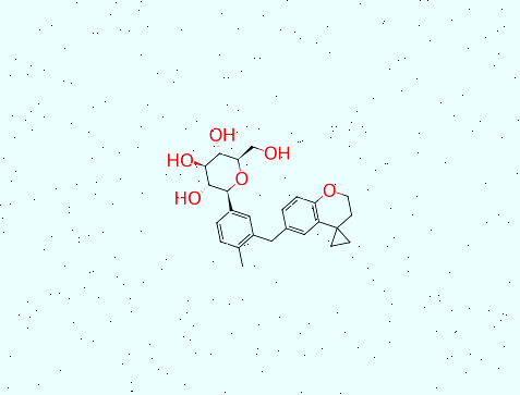 Cc1ccc([C@@H]2O[C@H](CO)[C@@H](O)[C@H](O)[C@H]2O)cc1Cc1ccc2c(c1)C1(CCO2)CC1